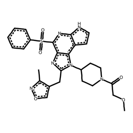 COCC(=O)N1CCC(n2c(Cc3conc3C)nc3c(S(=O)(=O)c4ccccc4)nc4[nH]ccc4c32)CC1